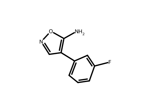 Nc1oncc1-c1cccc(F)c1